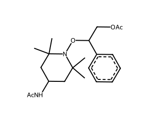 CC(=O)NC1CC(C)(C)N(OC(COC(C)=O)c2ccccc2)C(C)(C)C1